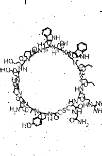 CCCC[C@H]1C(=O)N(C)[C@@H](CCCC)C(=O)N[C@@H](CCCNC(=N)N)C(=O)NC(C(=O)NCC(N)=O)CSCC(=O)N[C@@H](Cc2ccc(O)cc2)C(=O)N(C)[C@@H](C)C(=O)N[C@@H](CC(N)=O)C(=O)N2CCC[C@H]2C(=O)N[C@@H](CCO)C(=O)N[C@@H](CCO)C(=O)N2CCC[C@H]2C(=O)N[C@@H](Cc2c[nH]c3ccccc23)C(=O)N[C@@H](CO)C(=O)N[C@@H](Cc2c[nH]c3ccccc23)C(=O)N1C